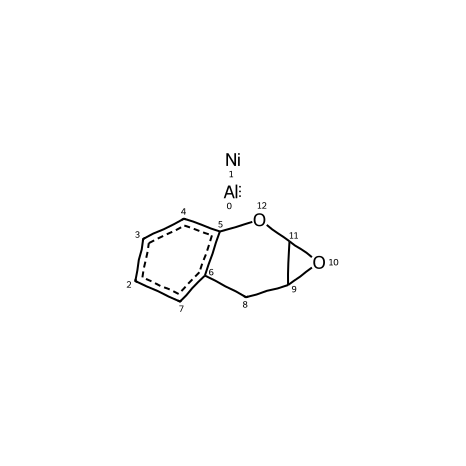 [Al].[Ni].c1ccc2c(c1)CC1OC1O2